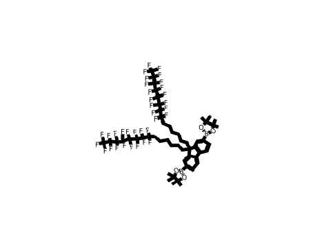 CC1(C)OB(c2ccc3c(c2)C(CCCCCCC(F)(F)C(F)(F)C(F)(F)C(F)(F)C(F)(F)C(F)(F)C(F)(F)C(F)(F)F)(CCCCCCC(F)(F)C(F)(F)C(F)(F)C(F)(F)C(F)(F)C(F)(F)C(F)(F)C(F)(F)F)c2cc(B4OC(C)(C)C(C)(C)O4)ccc2-3)OC1(C)C